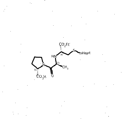 CCCCCCCSC[C@H](N[C@@H](C)C(=O)N1CCC[C@H]1C(=O)O)C(=O)OCC